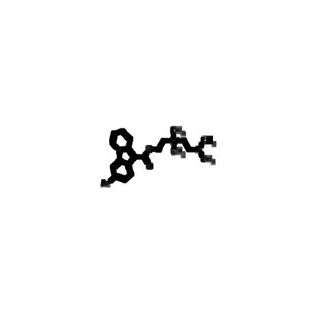 CC(=O)c1ccc2c(C(=O)OCC[N+](C)(C)CCN(C)C)c3ccccn3c2c1